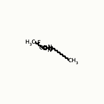 CCCCCCCCCCCCCc1cnc(-c2ccc(OCCC(F)CCC)cc2)nc1